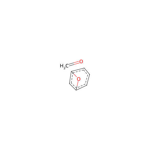 C=O.c1cc2cc(c1)O2